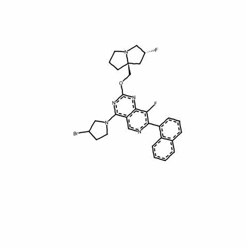 Fc1c(-c2cccc3ccccc23)ncc2c(N3CCC(Br)C3)nc(OC[C@@]34CCCN3C[C@H](F)C4)nc12